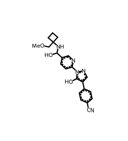 COCC1(NC(O)c2ccc(-n3ncc(-c4ccc(C#N)cc4)c3O)nc2)CCC1